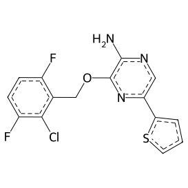 Nc1ncc(-c2cccs2)nc1OCc1c(F)ccc(F)c1Cl